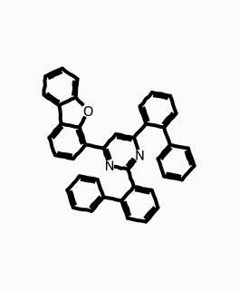 c1ccc(-c2ccccc2-c2cc(-c3cccc4c3oc3ccccc34)nc(-c3ccccc3-c3ccccc3)n2)cc1